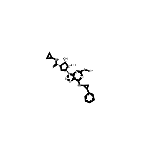 CCCSc1nc(NC2CC2c2ccccc2)c2nnn([C@H]3C[C@@H](C(=O)NC4CC4)[C@H](O)[C@@H]3O)c2n1